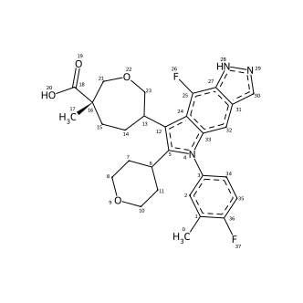 Cc1cc(-n2c(C3CCOCC3)c(C3CC[C@](C)(C(=O)O)COC3)c3c(F)c4[nH]ncc4cc32)ccc1F